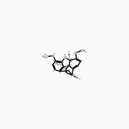 COC1=CC=C2[C@@H]3CC[C@H](C)[C@@]24c2c(ccc(OC)c2O[C@@H]14)C3